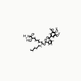 CCCCCC[C@H](CCCCC[C@@H](O)C(N)=O)OC(=O)[C@@H]1CC=CN1C(=O)c1cc(OC)c(OC)c(OC)c1